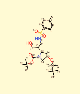 Cc1ccc(S(=O)(=O)NCC(CO)[C@@H]2C[C@@H](O[Si](C)(C)C(C)(C)C)CN2C(=O)OC(C)(C)C)cc1